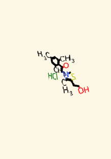 CC1=C(CCO)SCN1CC(=O)c1c(C)cc(C)cc1C.Cl